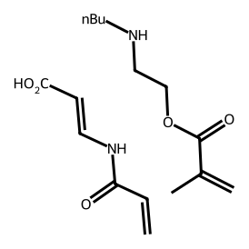 C=C(C)C(=O)OCCNCCCC.C=CC(=O)NC=CC(=O)O